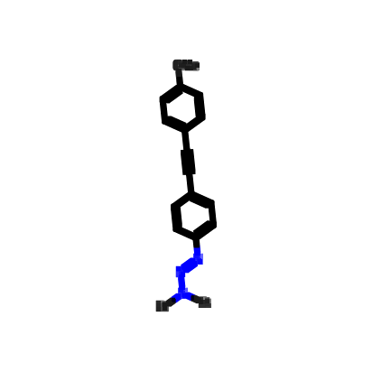 CCN(CC)N=Nc1ccc(C#Cc2ccc(OC)cc2)cc1